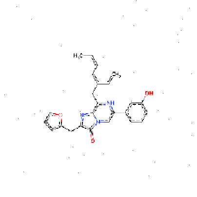 C=C/C(=C\C=C/C)Cc1[nH]c(-c2cccc(O)c2)cn2c(=O)c(Cc3ccco3)nc1-2